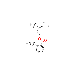 CC=C(C)CCOC(=O)c1ccccc1C(=O)O